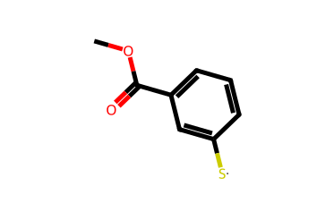 COC(=O)c1cccc([S])c1